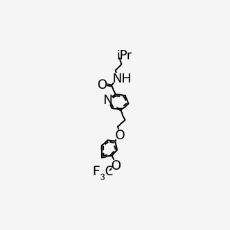 CC(C)CCNC(=O)c1ccc(CCOc2cccc(OC(F)(F)F)c2)cn1